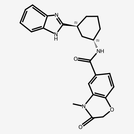 CN1C(=O)COc2ccc(C(=O)N[C@H]3CCC[C@H](c4nc5ccccc5[nH]4)C3)cc21